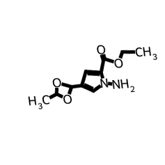 CCOC(=O)c1cc(C2OC(C)O2)cn1N